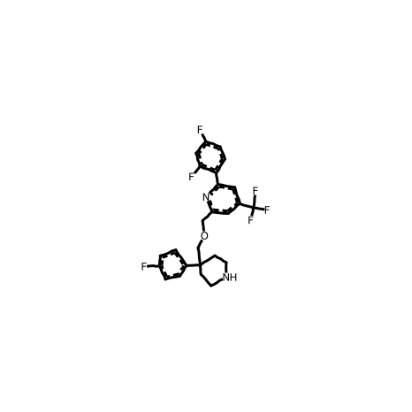 Fc1ccc(C2(COCc3cc(C(F)(F)F)cc(-c4ccc(F)cc4F)n3)CCNCC2)cc1